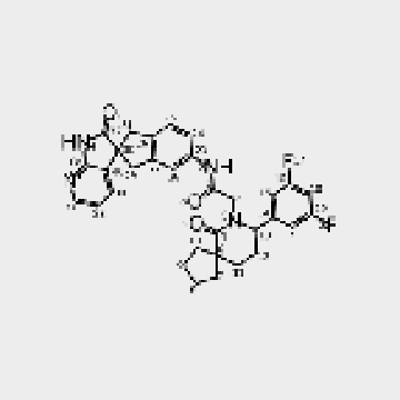 O=C(CN1C(=O)C2(CCCC2)CCC1c1cc(F)cc(F)c1)Nc1ccc2c(c1)CC1(C2)C(=O)Nc2ncccc21